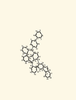 c1ccc(-c2ccc(N(c3ccccc3)c3ccc(-c4ccc5c(c4)sc4ccccc45)c4c3c3ccccc3n4-c3ccccc3)cc2)cc1